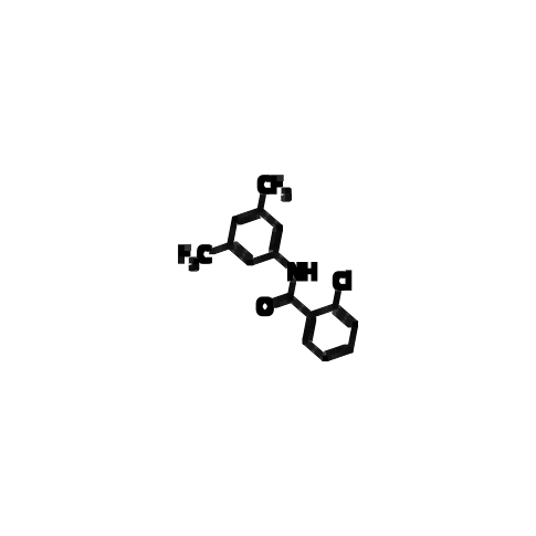 O=C(Nc1cc(C(F)(F)F)cc(C(F)(F)F)c1)c1ccccc1Cl